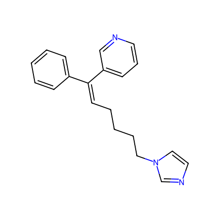 C(CCCCn1ccnc1)=C(c1ccccc1)c1cccnc1